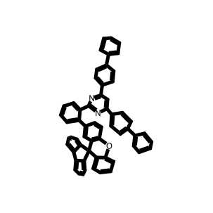 c1ccc(-c2ccc(-c3cc(-c4ccc(-c5ccccc5)cc4)nc(-c4ccccc4-c4ccc5c(c4)C4(c6ccccc6O5)c5ccccc5-c5ccccc54)n3)cc2)cc1